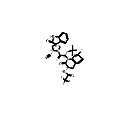 CC(C)(C)C[C@@H](C(=O)N1C[C@]2(C[C@H]1C#N)C(=O)Nc1ccccc12)N1C(=O)[C@@H](NC(=O)C(F)(F)F)Cc2ccc(F)cc21